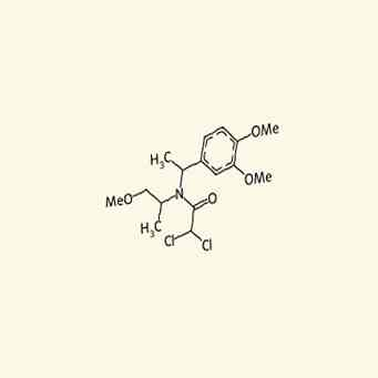 COCC(C)N(C(=O)C(Cl)Cl)C(C)c1ccc(OC)c(OC)c1